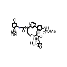 COC(=O)Nc1ccc2c(c1)N[C@@H](C(=O)NCC1(C)COC1)CCCCC[C@H](NC(=O)/C=C/c1cc(Cl)ccc1-n1cnnn1)c1cc-2ccn1